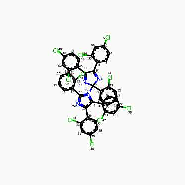 Clc1ccc(C2=NC(c3ccccc3Cl)(n3c(-c4ccccc4Cl)nc(-c4ccc(Cl)cc4Cl)c3-c3ccc(Cl)cc3Cl)N=C2c2ccc(Cl)cc2Cl)c(Cl)c1